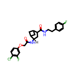 O=C(COc1ccc(Cl)c(F)c1)N[C@H]1CC(C(=O)NCCc2ccc(F)cc2)C2CC1C2